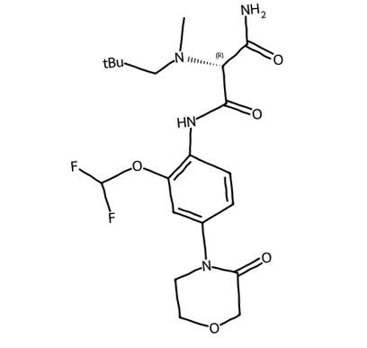 CN(CC(C)(C)C)[C@H](C(N)=O)C(=O)Nc1ccc(N2CCOCC2=O)cc1OC(F)F